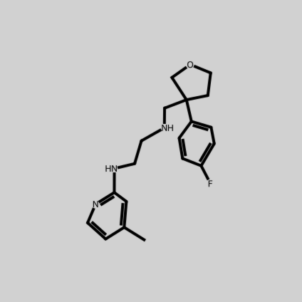 Cc1ccnc(NCCNCC2(c3ccc(F)cc3)CCOC2)c1